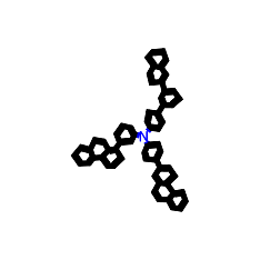 c1cc(-c2ccc(N(c3ccc(-c4ccc5c(ccc6ccccc65)c4)cc3)c3cccc(-c4cccc5c4ccc4ccccc45)c3)cc2)cc(-c2ccc3ccccc3c2)c1